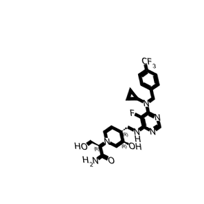 NC(=O)[C@@H](CO)N1CC[C@H](CNc2ncnc(N(Cc3ccc(C(F)(F)F)cc3)C3CC3)c2F)[C@@H](O)C1